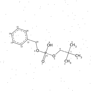 CC(C)(C)COP(=O)(O)OCc1ccccc1